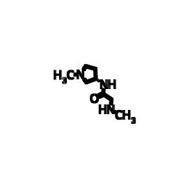 CNCC(=O)N[C@H]1CCN(C)C1